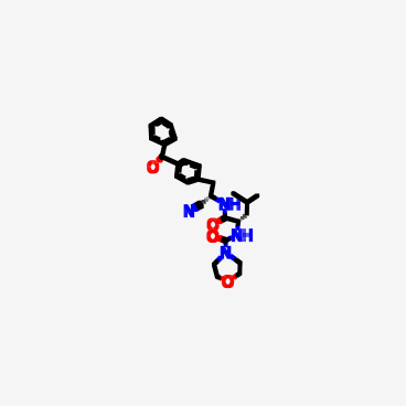 CC(C)C[C@H](NC(=O)N1CCOCC1)C(=O)N[C@H](C#N)Cc1ccc(C(=O)c2ccccc2)cc1